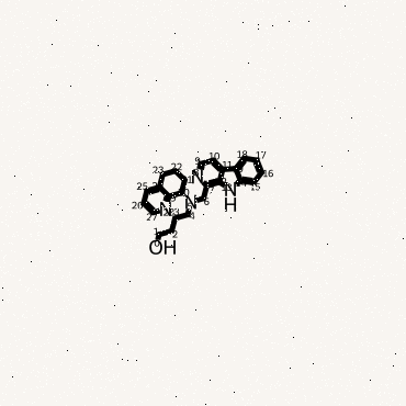 OCCCCN(Cc1nccc2c1[nH]c1ccccc12)[C@H]1CCCc2cccnc21